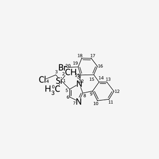 C[Si](C)(CCl)c1cnc2c3ccccc3c3cccc(Br)c3n12